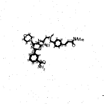 CCn1c(CN(C)Cc2ccc(/C=C/C(=O)NC)cc2)nc2c(N3CCOCC3)nc(-c3cccc(C(N)=O)c3)nc21